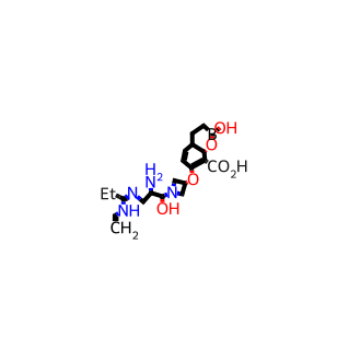 C=CN/C(CC)=N\CC(N)C(O)N1CC(OC2=C(C(=O)O)C3OB(O)CCC3C=C2)C1